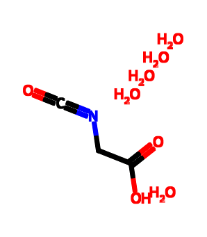 O.O.O.O.O.O=C=NCC(=O)O